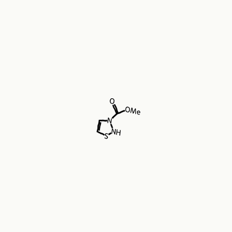 COC(=O)N1C=CSN1